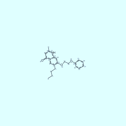 CCCCc1cc2c(=O)cc(C)[nH]c2cc1OCCOc1ccccc1